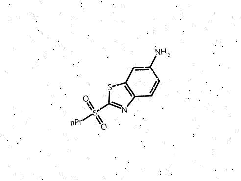 CCCS(=O)(=O)c1nc2ccc(N)cc2s1